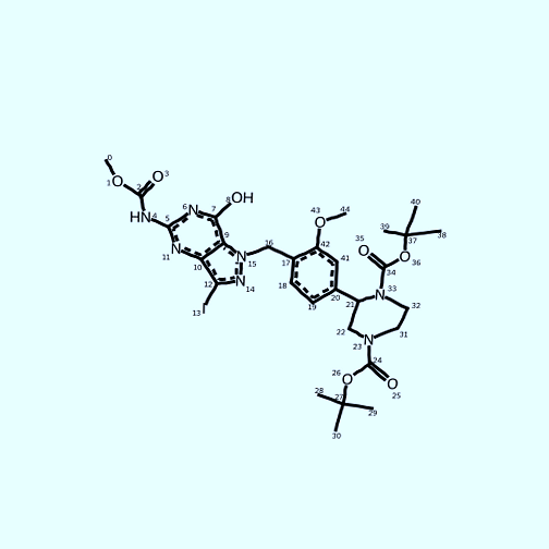 COC(=O)Nc1nc(O)c2c(n1)c(I)nn2Cc1ccc(C2CN(C(=O)OC(C)(C)C)CCN2C(=O)OC(C)(C)C)cc1OC